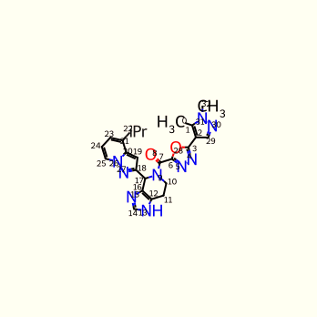 Cc1c(-c2nnc(C(=O)N3CCc4[nH]cnc4C3c3cc4c(C(C)C)cccn4n3)o2)cnn1C